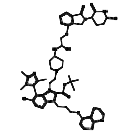 Cc1nn(C)c(C)c1-c1c(Cl)ccc2c(CCCOc3cccc4ccccc34)c(C(=O)OC(C)(C)C)n(CCN3CCC(NC(O)COc4cccc5c4CN(C4CCC(=O)NC4=O)C5=O)CC3)c12